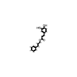 O=C(C=Cc1ccc(O)c(O)c1)OC/C=C/c1ccccc1